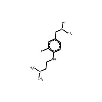 CC(=O)N(C)Cc1ccc(NCCN(C)C)c(F)c1